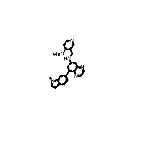 COc1ccncc1CNc1cc(-c2ccc3ccn(C)c3c2)c2nccnc2c1